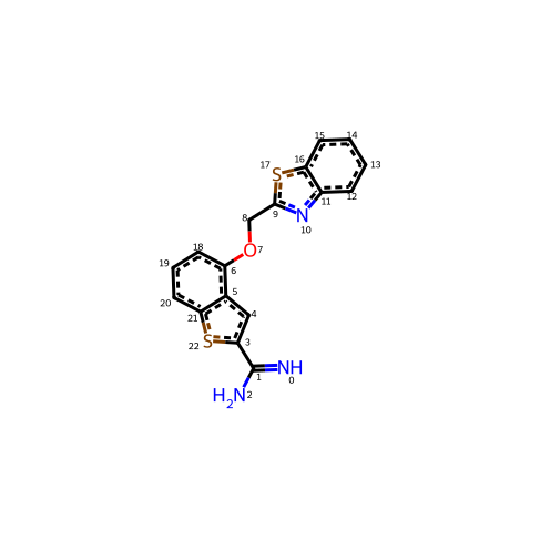 N=C(N)c1cc2c(OCc3nc4ccccc4s3)cccc2s1